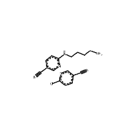 N#Cc1ccc(Cl)nc1.N#Cc1ccc(NCCCCN)nc1